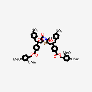 COc1ccc(COC(=O)c2ccc([C@@](O)(CC3=C(C(=O)O)N4C(=O)CC4(C[C@@](O)(Cc4ccc([N+](=O)[O-])cc4)c4ccc(C(=O)OCc5ccc(OC)cc5OC)cc4)S3)Cc3ccc([N+](=O)[O-])cc3)cc2)c(OC)c1